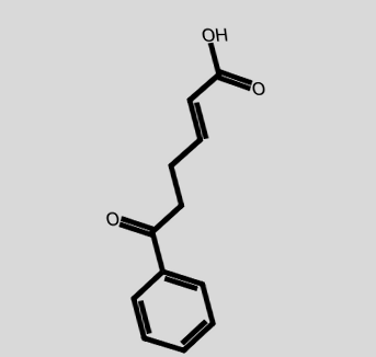 O=C(O)C=CCCC(=O)c1ccccc1